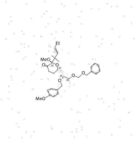 CC/C=C/C(C)(C)[C@]1(OC)O[C@H](C[C@@H](OCc2ccc(OC)cc2)[C@@H](C)OCOCc2ccccc2)CCC1=O